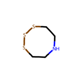 C1CSSSCCN1